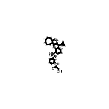 O=C(CO)Nc1cccc(S(=O)(=O)Nc2cccc(C(C3=C(O)C4=C(CCCCCC4)OO3)C3CC3)c2)c1